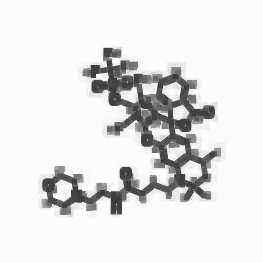 CC1CC(C)(C)N(CCCC(=O)NCCN2CCOCC2)c2cc3c(cc21)C1(OC(=O)c2ccccc21)c1cc(F)c(OS(=O)(=O)C(F)(F)F)c(F)c1O3